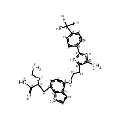 CCOC(Cc1ccc(OCCc2nc(-c3ccc(C(F)(F)F)cc3)oc2C)c2ccsc12)C(=O)O